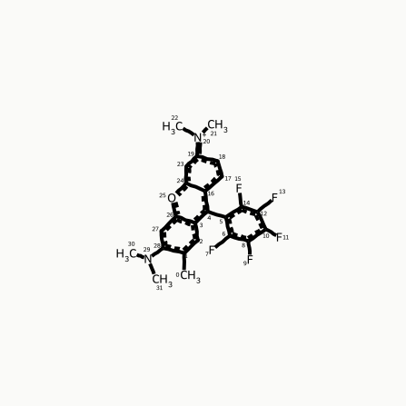 Cc1cc2c(-c3c(F)c(F)c(F)c(F)c3F)c3ccc(=[N+](C)C)cc-3oc2cc1N(C)C